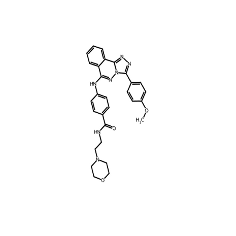 COc1ccc(-c2nnc3c4ccccc4c(Nc4ccc(C(=O)NCCN5CCOCC5)cc4)nn23)cc1